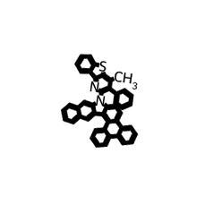 Cc1c(-c2ccccc2)c(-n2c3cc4ccccc4cc3c3c4c5ccccc5c5ccccc5c4ccc32)nc2c1sc1ccccc12